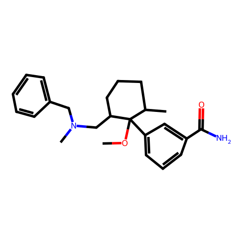 COC1(c2cccc(C(N)=O)c2)C(C)CCCC1CN(C)Cc1ccccc1